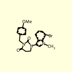 COc1ccc(CN2C(=O)CCN(c3cn(C)c4c(Br)cccc34)C2=O)cc1